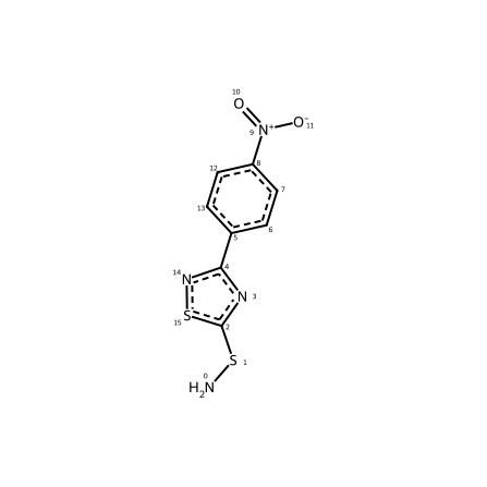 NSc1nc(-c2ccc([N+](=O)[O-])cc2)ns1